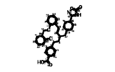 O=C(O)c1ccc(CCC(/C=C/c2ccccc2OCc2ccccc2Cl)Cc2ccc(-c3noc(=O)[nH]3)cc2)cc1